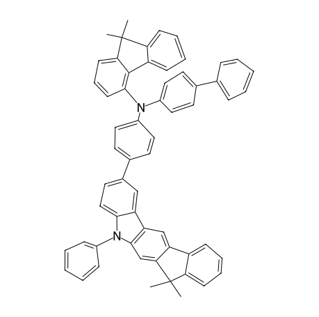 CC1(C)c2ccccc2-c2cc3c4cc(-c5ccc(N(c6ccc(-c7ccccc7)cc6)c6cccc7c6-c6ccccc6C7(C)C)cc5)ccc4n(-c4ccccc4)c3cc21